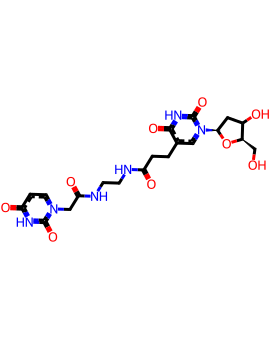 O=C(CCc1cn([C@H]2CC(O)[C@@H](CO)O2)c(=O)[nH]c1=O)NCCNC(=O)Cn1ccc(=O)[nH]c1=O